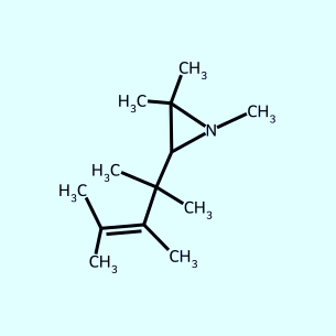 CC(C)=C(C)C(C)(C)C1N(C)C1(C)C